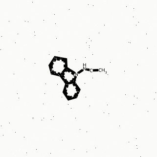 CCNn1c2ccccc2c2ccccc21